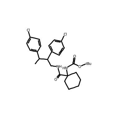 CC(c1ccc(Cl)cc1)C(CNC(=O)C1(NC(=O)OC(C)(C)C)CCCCC1)c1ccc(Cl)cc1